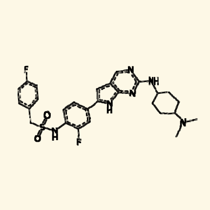 CN(C)C1CCC(Nc2ncc3cc(-c4ccc(NS(=O)(=O)Cc5ccc(F)cc5)c(F)c4)[nH]c3n2)CC1